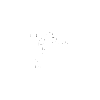 COc1ccc2c(-c3c(C)c(N4CCC5(CN(C(=O)OC(C)(C)C)C5)C4)nc4c3CCNC4)cccc2c1